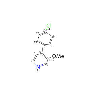 COc1cnccc1-c1ccc(Cl)cc1